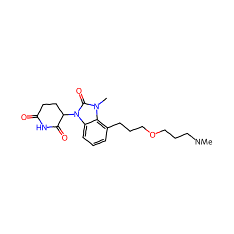 CNCCCOCCCc1cccc2c1n(C)c(=O)n2C1CCC(=O)NC1=O